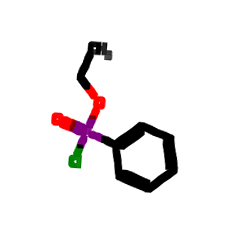 CCOP(=O)(Cl)c1ccccc1